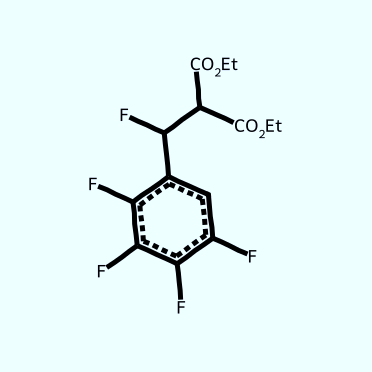 CCOC(=O)C(C(=O)OCC)C(F)c1cc(F)c(F)c(F)c1F